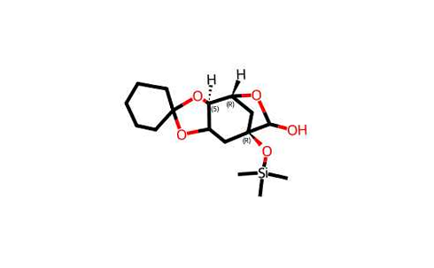 C[Si](C)(C)O[C@@]12CC3OC4(CCCCC4)O[C@H]3[C@@H](C1)OC2O